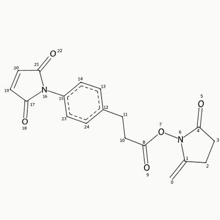 C=C1CCC(=O)N1OC(=O)CCc1ccc(N2C(=O)C=CC2=O)cc1